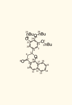 CCCCOc1cc(C2CC(=O)c3ccc4ccccc4c3O2)cc(OCCCC)c1OCCCC